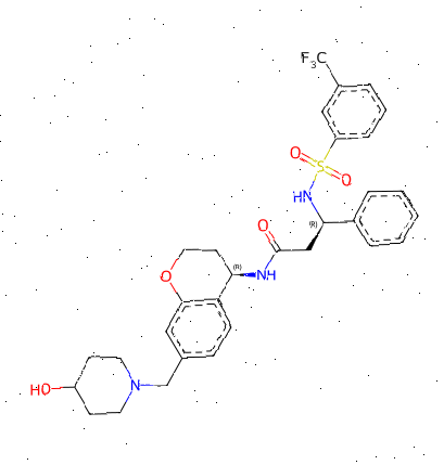 O=C(C[C@@H](NS(=O)(=O)c1cccc(C(F)(F)F)c1)c1ccccc1)N[C@@H]1CCOc2cc(CN3CCC(O)CC3)ccc21